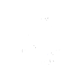 CCOC(=O)c1cn2c(c/c1=N\O)-c1cc(Cl)c(OC)cc1OCC2C(C)C